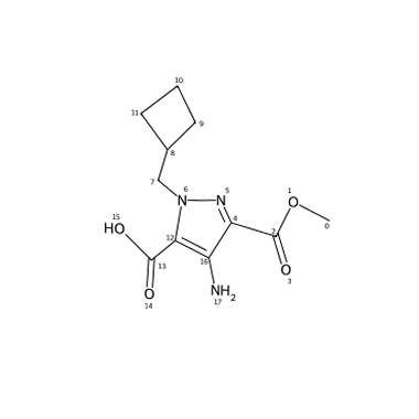 COC(=O)c1nn(CC2CCC2)c(C(=O)O)c1N